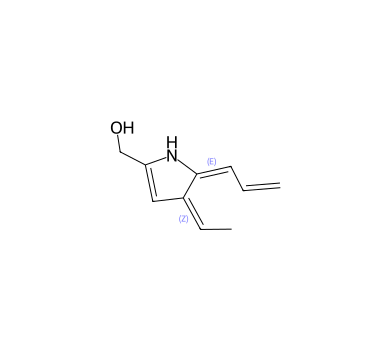 C=C/C=c1/[nH]c(CO)c/c1=C/C